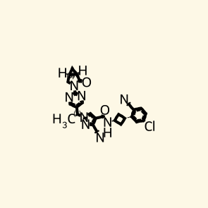 C[C@@H](c1cnc(N2C[C@H]3C[C@H]3C2=O)nc1)n1cc(C(=O)N[C@H]2C[C@@H](c3cc(Cl)ccc3C#N)C2)c(C#N)n1